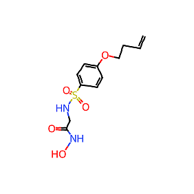 C=CCCOc1ccc(S(=O)(=O)NCC(=O)NO)cc1